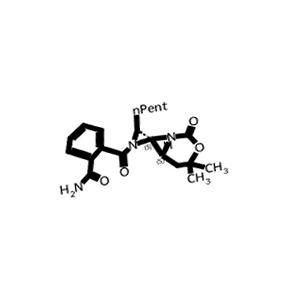 CCCCCC1N(C(=O)c2ccccc2C(N)=O)[C@@]12[C@@H]1CC(C)(C)OC(=O)N12